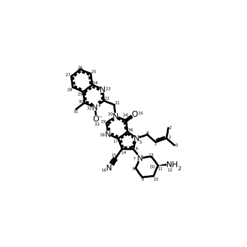 CC(C)=CCn1c(N2CCC[C@H](N)C2)c(C#N)c2ncn(Cc3nc4ccccc4c(C)[n+]3[O-])c(=O)c21